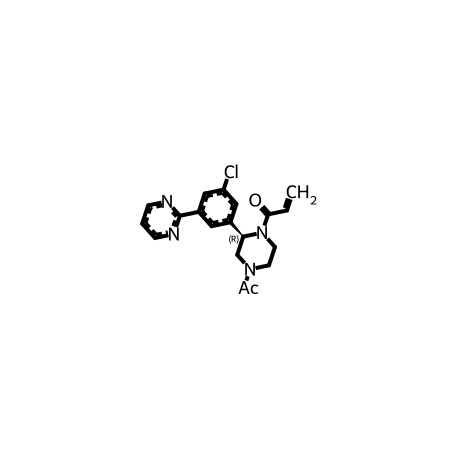 C=CC(=O)N1CCN(C(C)=O)C[C@H]1c1cc(Cl)cc(-c2ncccn2)c1